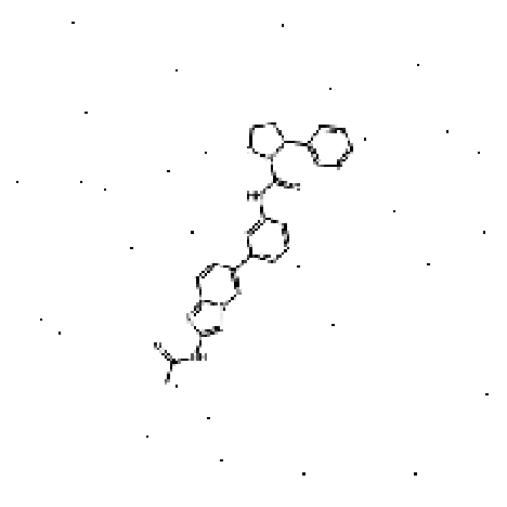 CC(=O)Nc1cn2nc(-c3cccc(NC(=O)N4OCCC4c4ccccc4)c3)ccc2n1